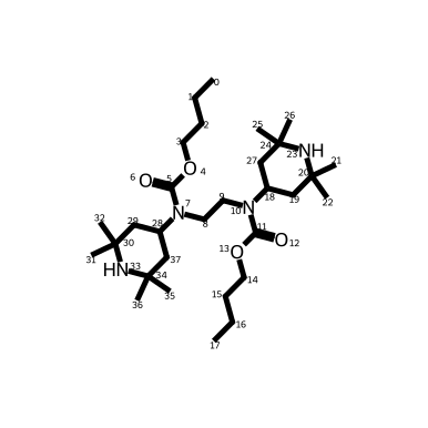 CCCCOC(=O)N(CCN(C(=O)OCCCC)C1CC(C)(C)NC(C)(C)C1)C1CC(C)(C)NC(C)(C)C1